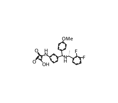 COc1ccc(C(N[C@H](C)c2cccc(F)c2F)c2cccc(Nc3c(O)c(=O)c3=O)c2)cc1